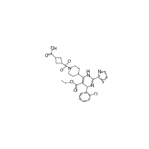 CCOC(=O)C1=C(C2CCN(S(=O)(=O)C3CC(C(=O)O)C3)CC2)NC(c2nccs2)=NC1c1ccccc1Cl